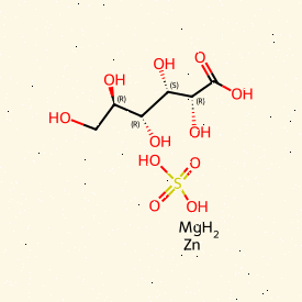 O=C(O)[C@H](O)[C@@H](O)[C@H](O)[C@H](O)CO.O=S(=O)(O)O.[MgH2].[Zn]